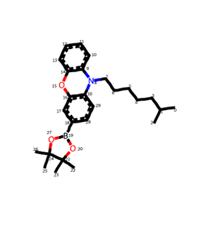 CC(C)CCCCCN1c2ccccc2Oc2cc(B3OC(C)(C)C(C)(C)O3)ccc21